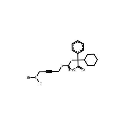 CCN(CC)CC#CCOC(=O)SC(C(=O)OC)(c1ccccc1)C1CCCCC1